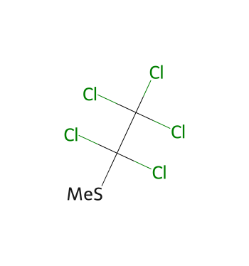 CSC(Cl)(Cl)C(Cl)(Cl)Cl